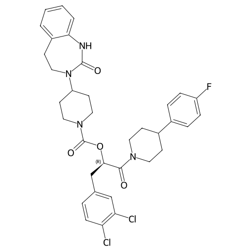 O=C(O[C@H](Cc1ccc(Cl)c(Cl)c1)C(=O)N1CCC(c2ccc(F)cc2)CC1)N1CCC(N2CCc3ccccc3NC2=O)CC1